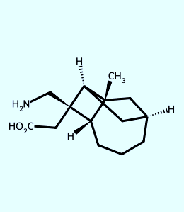 C[C@@]12C[C@H]3CCC[C@@H]1[C@](CN)(CC(=O)O)[C@@H]2C3